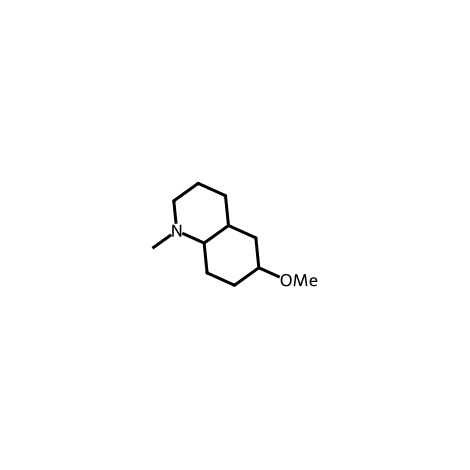 COC1CCC2C(CCCN2C)C1